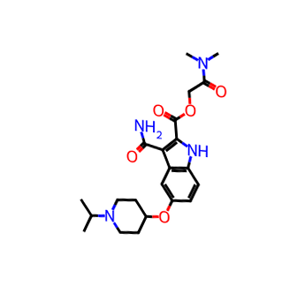 CC(C)N1CCC(Oc2ccc3[nH]c(C(=O)OCC(=O)N(C)C)c(C(N)=O)c3c2)CC1